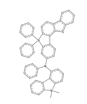 C[Si]1(C)c2ccccc2-c2c(N(c3ccccc3)c3ccc4c(c3)[Si](c3ccccc3)(c3ccccc3)c3ccc5c(sc6ccccc65)c3-4)cccc21